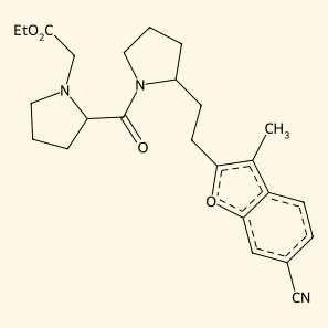 CCOC(=O)CN1CCCC1C(=O)N1CCCC1CCc1oc2cc(C#N)ccc2c1C